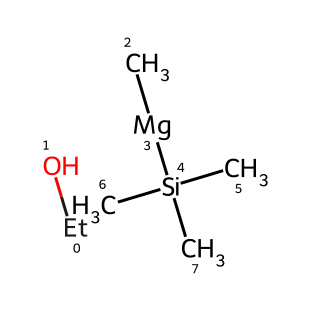 CCO.[CH3][Mg][Si](C)(C)C